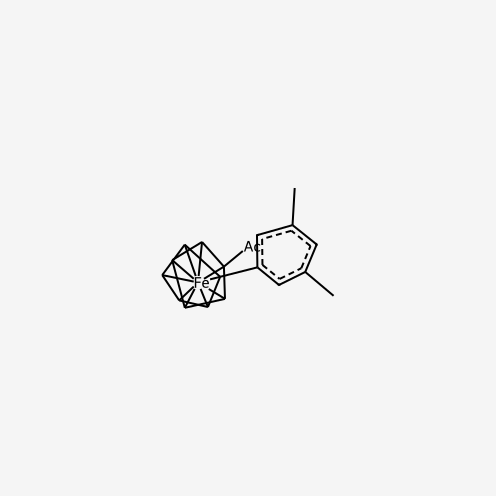 CC(=O)[C]12[CH]3[CH]4[CH]5[CH]1[Fe]45321678[CH]2[CH]1[CH]6[C]7(c1cc(C)cc(C)c1)[CH]28